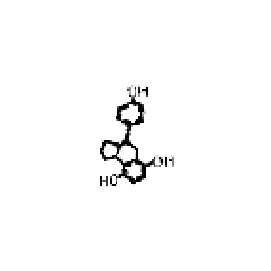 Oc1ccc(C2Cc3c(O)ccc(O)c3C3CCCC23)cc1